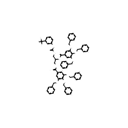 O=C(NCC(COC(=O)c1cc(OCc2ccccc2)c(OCc2ccccc2)c(OCc2ccccc2)c1)OC(=O)c1cc(OCc2ccccc2)c(OCc2ccccc2)c(OCc2ccccc2)c1)Oc1cccc(C(F)(F)F)c1